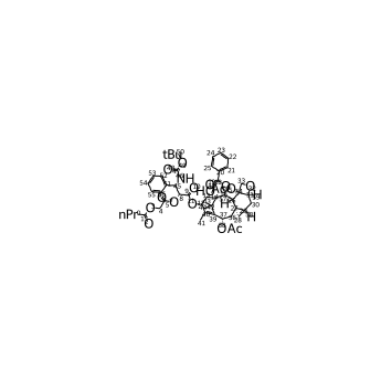 CCCC(=O)OCC(=O)O[C@@H](C(=O)O[C@H]1C[C@@]2(O)[C@@H](OC(=O)c3ccccc3)[C@H]3[C@]4(C[C@H]4C[C@H]4OC[C@]43OC(C)=O)C[C@H](OC(C)=O)C(=C1C)C2(C)C)[C@@H](NC(=O)OC(C)(C)C)c1ccccc1